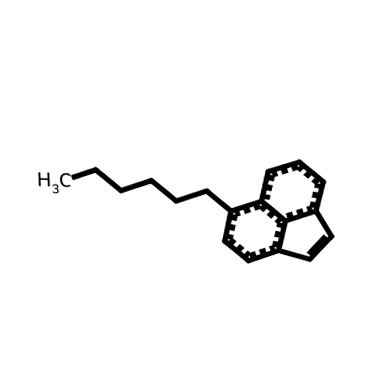 CCCCCCc1ccc2c3c(cccc13)C=C2